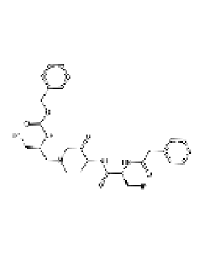 CC(C)C[C@H](CN1CCC(NC(=O)[C@H](CC(C)C)NC(=O)Cc2ccccc2)C(=O)C1)NC(=O)OCc1ccccc1